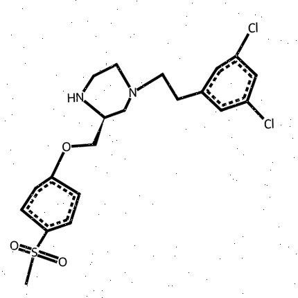 CS(=O)(=O)c1ccc(OC[C@@H]2CN(CCc3cc(Cl)cc(Cl)c3)CCN2)cc1